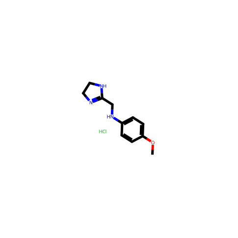 COc1ccc(NCC2=NCCN2)cc1.Cl